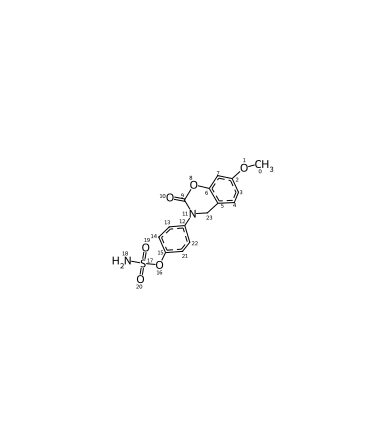 COc1ccc2c(c1)OC(=O)N(c1ccc(OS(N)(=O)=O)cc1)C2